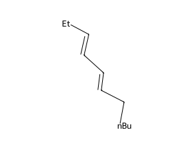 CCC=CC=CCCCCC